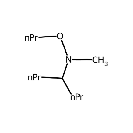 CCCON(C)C(CCC)CCC